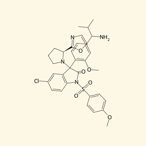 COc1ccc(S(=O)(=O)N2C(=O)C(c3ccc(C(N)C(C)C)cc3OC)(N3CCC[C@H]3c3ncco3)c3cc(Cl)ccc32)cc1